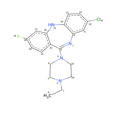 CCN1CCN(C2=Nc3cc(Cl)ccc3Nc3cc(F)ccc32)CC1